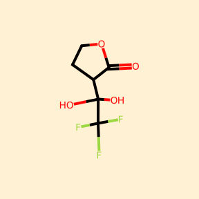 O=C1OCCC1C(O)(O)C(F)(F)F